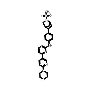 CS(=O)(=O)N1CC2CC1CC2c1ccc(Nc2nccc(-c3ccc(N4CCOCC4)nc3)n2)cc1